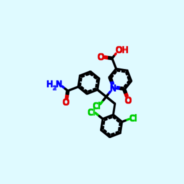 NC(=O)c1cccc(C(Cl)(Cc2c(Cl)cccc2Cl)n2cc(C(=O)O)ccc2=O)c1